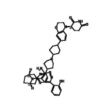 Nc1nnc(-c2ccccc2O)cc1N1C[C@H]2CC[C@@H](C1)N2c1nccc(C2CCN(C3CCC(c4ccc5c(c4)OCCN5[C@@H]4CCC(=O)NC4=O)CC3)CC2)n1